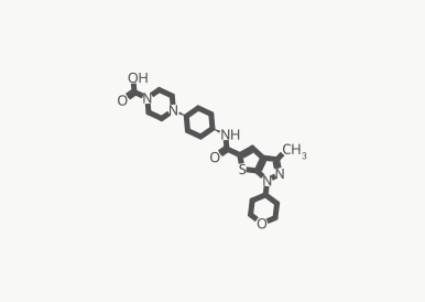 Cc1nn(C2CCOCC2)c2sc(C(=O)N[C@H]3CC[C@@H](N4CCN(C(=O)O)CC4)CC3)cc12